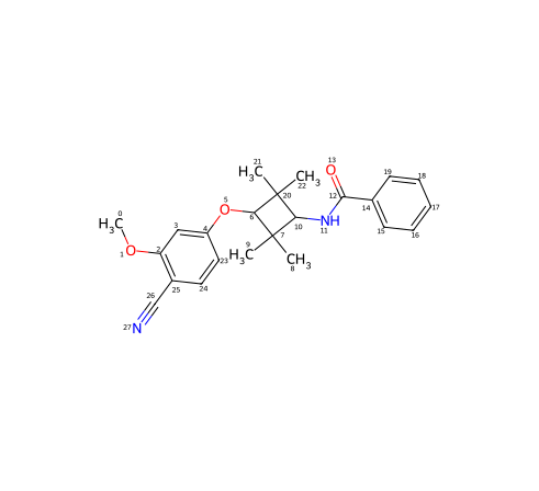 COc1cc(OC2C(C)(C)C(NC(=O)c3ccccc3)C2(C)C)ccc1C#N